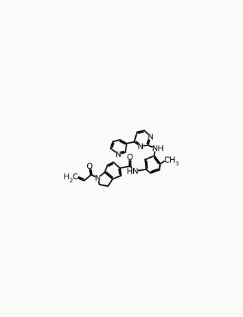 C=CC(=O)N1CCc2cc(C(=O)Nc3ccc(C)c(Nc4nccc(-c5cccnc5)n4)c3)ccc21